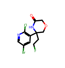 O=C1COCC(CCF)(c2cc(Br)cnc2Cl)N1